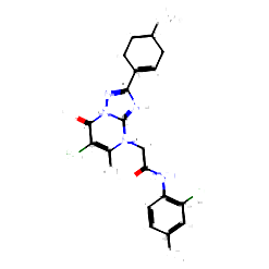 CCc1c(Br)c(=O)n2nc(C3=CCC(OC)CC3)nc2n1CC(=O)Nc1ccc(C(F)(F)F)cc1Cl